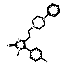 Cn1c(-c2ccc(F)cc2)c(CCN2CCN(c3ccccc3)CC2)sc1=O